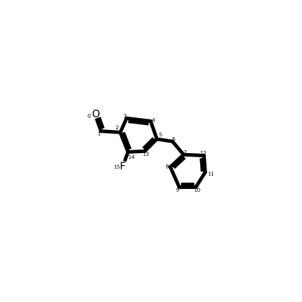 O=Cc1ccc(Cc2ccccc2)cc1F